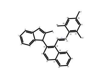 CC1=Cc2ccccc2C1c1ccc2ccccc2c1/C=N/c1c(C)cc(C)cc1C